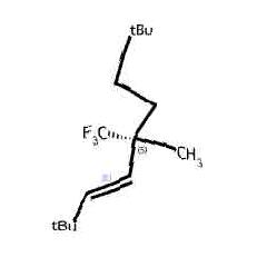 CC(C)(C)/C=C/[C@](C)(CCC(C)(C)C)C(F)(F)F